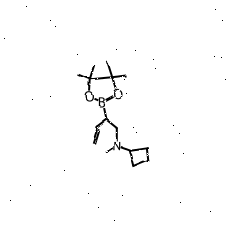 C=CC(CN(C)C1CCC1)B1OC(C)(C)C(C)(C)O1